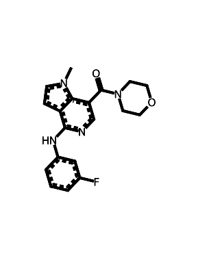 Cn1ccc2c(Nc3cccc(F)c3)ncc(C(=O)N3CCOCC3)c21